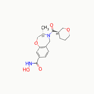 C[C@H]1COc2cc(C(=O)NO)ccc2CN1C(=O)[C@@H]1CCCOC1